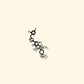 CNC1(N(C)C(=O)c2[nH]cc(-c3nnc(Cc4ccc(F)cc4F)s3)c(=O)c2O)CCC(C)(OC)CC1